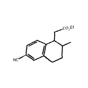 CCOC(=O)CC1c2ccc(C#N)cc2CCC1C